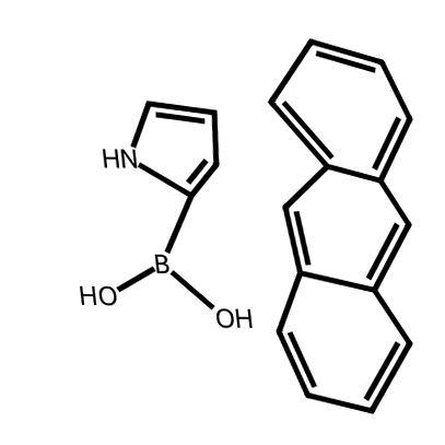 OB(O)c1ccc[nH]1.c1ccc2cc3ccccc3cc2c1